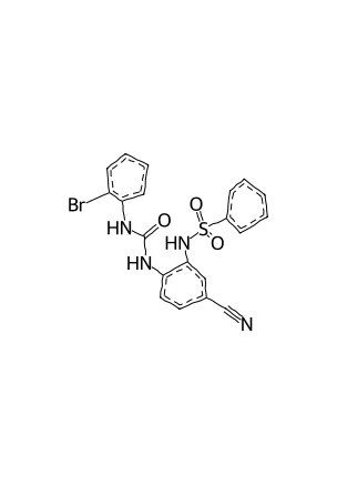 N#Cc1ccc(NC(=O)Nc2ccccc2Br)c(NS(=O)(=O)c2ccccc2)c1